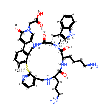 Cc1ccc(-c2ccn(CC(=O)O)c(=O)c2)c2c1Sc1ncccc1CNC(CCCN)C(=O)NC(CCCCN)C(=O)N(C)[C@@H](Cc1c[nH]c3ccccc13)C(=O)NC2